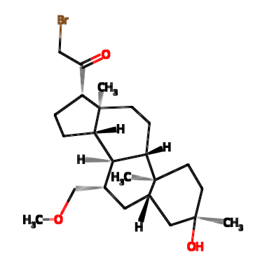 COC[C@H]1C[C@H]2C[C@](C)(O)CC[C@]2(C)[C@H]2CC[C@]3(C)[C@@H](C(=O)CBr)CC[C@H]3[C@H]12